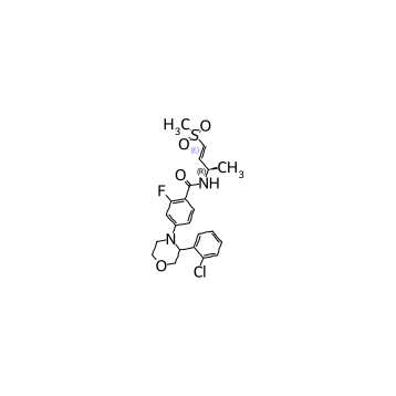 C[C@H](/C=C/S(C)(=O)=O)NC(=O)c1ccc(N2CCOCC2c2ccccc2Cl)cc1F